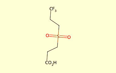 O=C(O)CCS(=O)(=O)CCC(F)(F)F